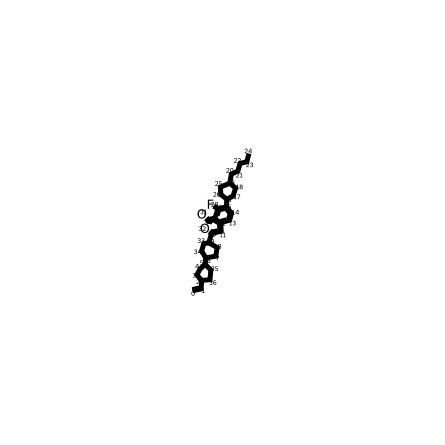 C=CC1CCC(C2CCC(c3cc4ccc(C5CCC(CCCCC)CC5)c(F)c4c(=O)o3)CC2)CC1